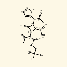 C=C(C)C(C(=O)OCC(Cl)(Cl)Cl)N1C(=O)C(N(C(C)=O)c2cccs2)C1S(=O)O